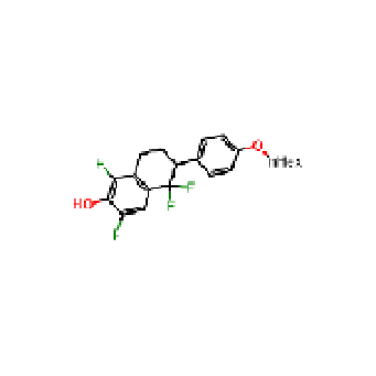 CCCCCCOc1ccc(C2CCc3c(cc(F)c(O)c3F)C2(F)F)cc1